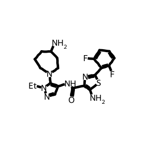 CCn1ncc(NC(=O)c2nc(-c3c(F)cccc3F)sc2N)c1N1CCCC(N)CC1